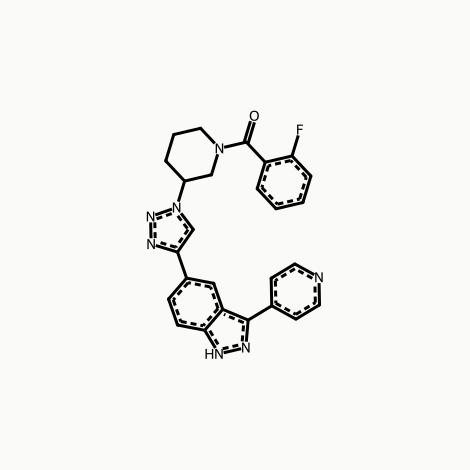 O=C(c1ccccc1F)N1CCCC(n2cc(-c3ccc4[nH]nc(-c5ccncc5)c4c3)nn2)C1